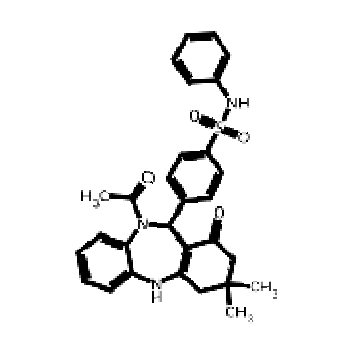 CC(=O)N1c2ccccc2NC2=C(C(=O)CC(C)(C)C2)C1c1ccc(S(=O)(=O)Nc2ccccc2)cc1